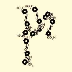 CCCCOc1ccc(S(=O)(=O)Nc2ccc(OCCOc3ccc(C(=O)O)cc3)cc2)cc1.O=C(O)c1ccc(OCCOc2ccc(NS(=O)(=O)c3ccc(S(=O)(=O)c4ccccc4)s3)cc2)cc1.O=C(O)c1ccc(OCCOc2ccc(NS(=O)(=O)c3cccc4cccnc34)cc2)cc1.O=C(O)c1ccc(OCCOc2ccc(NS(=O)(=O)c3ccccc3OC(F)(F)F)cc2)cc1